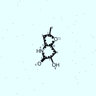 Cc1cc2[nH]c(=O)c(O)cc2o1